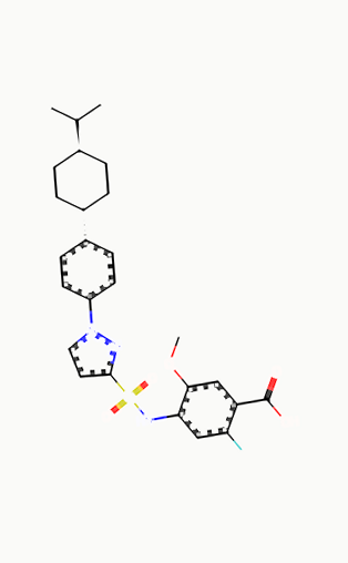 COc1cc(C(=O)O)c(F)cc1NS(=O)(=O)c1ccn(-c2ccc([C@H]3CC[C@H](C(C)C)CC3)cc2)n1